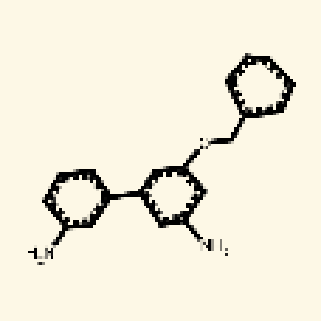 Nc1cccc(-c2cc(N)cc(OCc3ccccc3)c2)c1